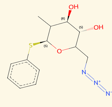 CC1[C@@H](O)[C@H](O)C(CN=[N+]=[N-])O[C@H]1Sc1ccccc1